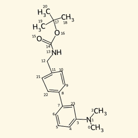 CN(C)c1cccc(-c2ccc(CNC(=O)OC(C)(C)C)cc2)c1